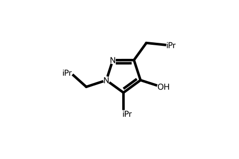 CC(C)Cc1nn(CC(C)C)c(C(C)C)c1O